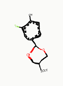 CCCCCCCCC1COC(c2ccc(C#N)c(F)c2)OC1